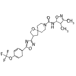 CC1=NOC(NC(=O)N2CCC3(CC2)CC(c2noc(C4C=CC(OC(F)(F)F)=CC4)n2)CO3)C1C